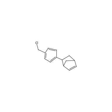 ClCc1ccc(C2CC3C=CC2C3)cc1